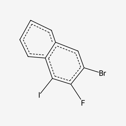 Fc1c(Br)cc2ccccc2c1I